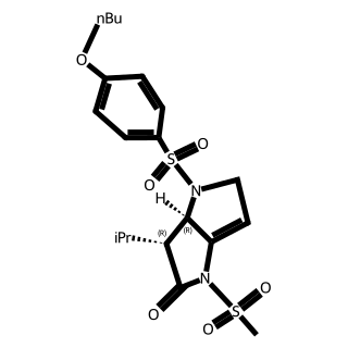 CCCCOc1ccc(S(=O)(=O)N2CC=C3[C@H]2[C@@H](C(C)C)C(=O)N3S(C)(=O)=O)cc1